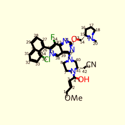 COC/C=C/C(O)N1CCN(c2nc(OC[C@@H]3CCCN3C)nc3c(F)c(-c4cccc5cccc(Cl)c45)ncc23)C[C@@H]1CC#N